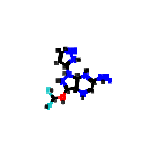 Nc1cnc2c(OC(F)F)nn(-c3cc[nH]n3)c2n1